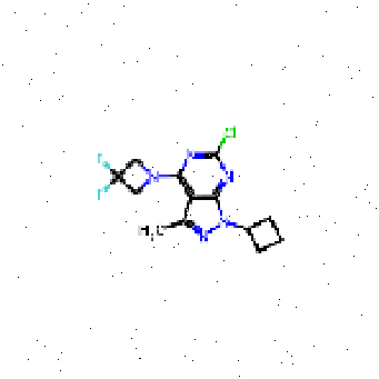 Cc1nn(C2CCC2)c2nc(Cl)nc(N3CC(F)(F)C3)c12